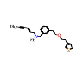 CCN(CC=CC#CC(C)(C)C)Cc1cccc(CCOCCc2ccsc2)c1